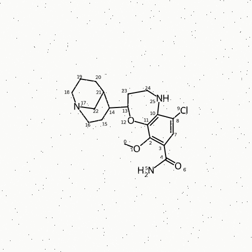 COc1c(C(N)=O)cc(Cl)c2c1OC(C1CCN3CCCC1C3)CCN2